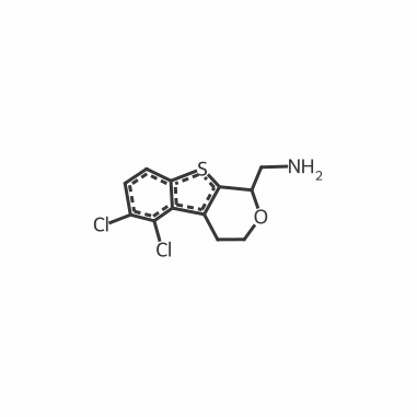 NCC1OCCc2c1sc1ccc(Cl)c(Cl)c21